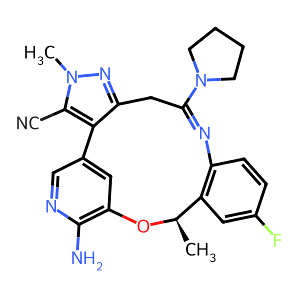 C[C@H]1Oc2cc(cnc2N)-c2c(nn(C)c2C#N)C/C(N2CCCC2)=N\c2ccc(F)cc21